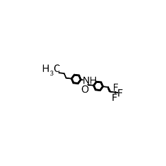 CCCCc1ccc(NC(=O)c2ccc(/C=C/C(F)(F)F)cc2)cc1